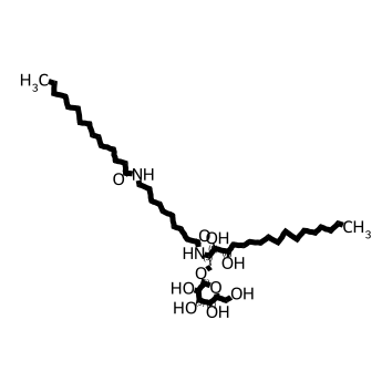 CCCCCCCCCCCCCCC(=O)NCCCCCCCCCC(=O)N[C@@H](CO[C@H]1OC(CO)[C@H](O)[C@H](O)C1O)[C@H](O)[C@H](O)CCCCCCCCCCCCCC